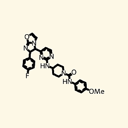 COc1ccc(NC(=O)N2CCC(Nc3nccc(C4C(c5ccc(F)cc5)N=C5OC=CN54)n3)CC2)cc1